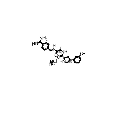 COc1cccc([C@H]2CN[C@@H](C(=O)N[C@@H](C)C(=O)NCc3ccc(C(=N)N)cc3)C2)c1.Cl.Cl